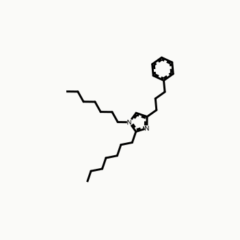 CCCCCCCc1nc(CCCc2ccccc2)cn1CCCCCCC